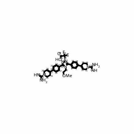 COCCn1c(-c2ccc(C3=CCN(C(=N)N)CC3)cc2)nnc1-c1ccc(C2=CCN(C(=N)N)CC2)cc1.O=C(O)C(F)(F)F